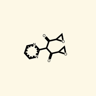 O=C(C1CO1)C(C(=O)C1CO1)c1ncccn1